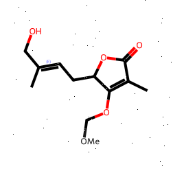 COCOC1=C(C)C(=O)OC1C/C=C(\C)CO